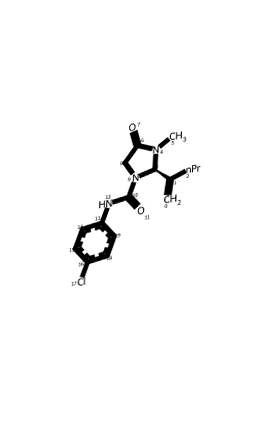 C=C(CCC)[C@@H]1N(C)C(=O)CN1C(=O)Nc1ccc(Cl)cc1